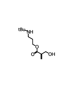 C=C(CO)C(=O)OCCCNC(C)(C)C